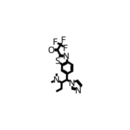 CCC(C(c1ccc2nc(C(=O)C(F)(F)F)sc2c1)n1ccnc1)N(C)C